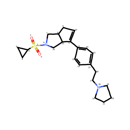 O=S(=O)(C1CC1)N1CC2CC=C(c3ccc(CCN4CCCC4)cc3)C2C1